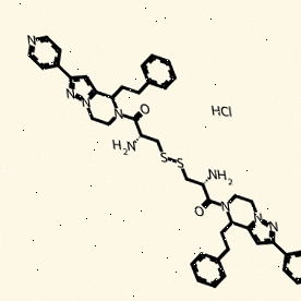 Cl.N[C@@H](CSSC[C@H](N)C(=O)N1CCn2nc(-c3ccncc3)cc2C1CCc1ccccc1)C(=O)N1CCn2nc(-c3ccncc3)cc2C1CCc1ccccc1